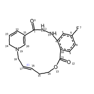 O=C1NNc2cc(F)ccc2C(=O)OCC/C=C/CN2C=C1C=CC2